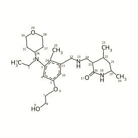 CCN(c1cc(OCCO)cc(CNCC2C(=O)NC(C)CC2C)c1C)C1CCOCC1